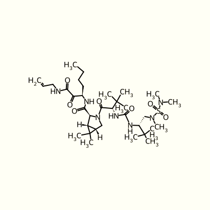 C=CCNC(=O)C(=O)[C@@H](CCCC)NC(=O)[C@@H]1[C@@H]2[C@H](CN1C(=O)[C@@H](NC(=O)N[C@H](CN(C)S(=O)(=O)N(C)C)C(C)(C)C)C(C)(C)C)C2(C)C